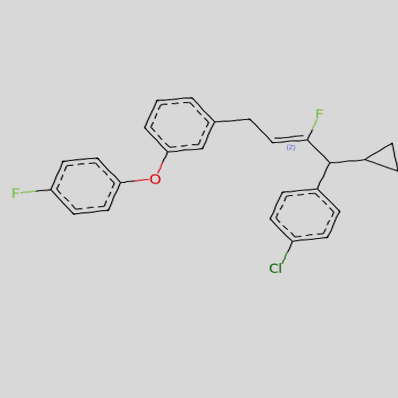 F/C(=C\Cc1cccc(Oc2ccc(F)cc2)c1)C(c1ccc(Cl)cc1)C1CC1